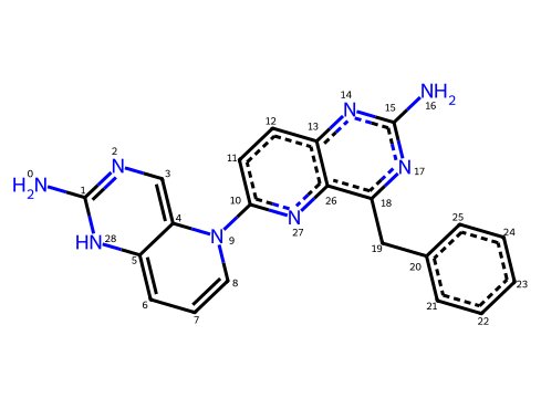 NC1=NC=C2C(=CC=CN2c2ccc3nc(N)nc(Cc4ccccc4)c3n2)N1